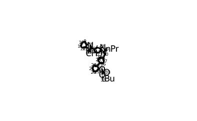 CCCc1nc2cc(-c3nc4ccccc4n3C)ccc2n1Cc1ccc(-c2ccccc2OC(=O)OC(C)(C)C)cc1